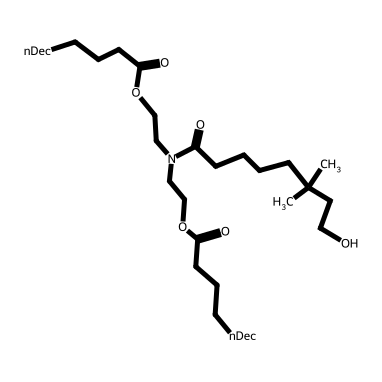 CCCCCCCCCCCCCC(=O)OCCN(CCOC(=O)CCCCCCCCCCCCC)C(=O)CCCCC(C)(C)CCO